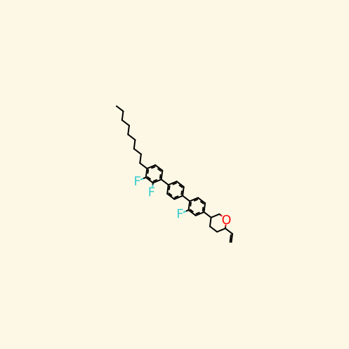 C=CC1CCC(c2ccc(-c3ccc(-c4ccc(CCCCCCCCC)c(F)c4F)cc3)c(F)c2)CO1